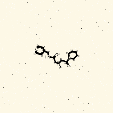 C[C@@H](CC(=O)NCc1ccccc1)CC(=O)N1CCCCC1